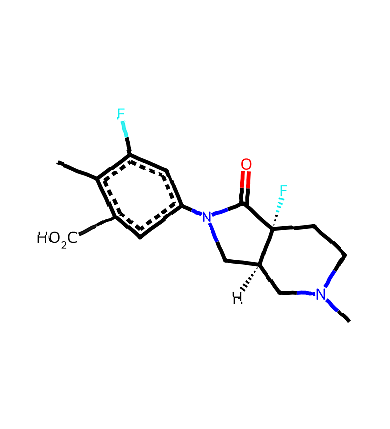 Cc1c(F)cc(N2C[C@@H]3CN(C)CC[C@]3(F)C2=O)cc1C(=O)O